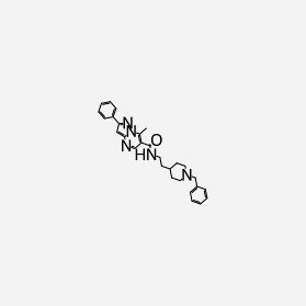 Cc1c(C(=O)NCCC2CCN(Cc3ccccc3)CC2)cnc2cc(-c3ccccc3)nn12